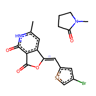 CN1CCCC1=O.Cc1cc2c(c(=O)[nH]1)C(=O)O/C2=C\c1cc(Br)cs1